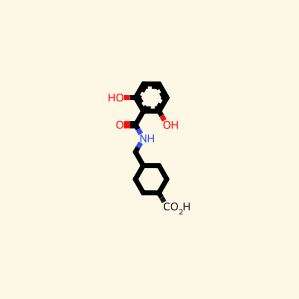 O=C(NCC1CCC(C(=O)O)CC1)c1c(O)cccc1O